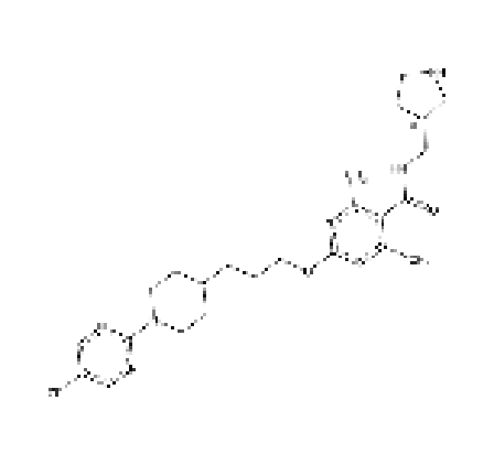 Cc1cc(OCCCC2CCN(c3ncc(Cl)cn3)CC2)nc(C)c1C(=O)NC[C@@H]1CCNC1